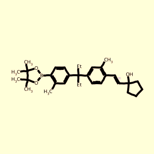 CCC(CC)(c1ccc(/C=C/C2(O)CCCC2)c(C)c1)c1ccc(B2OC(C)(C)C(C)(C)O2)c(C)c1